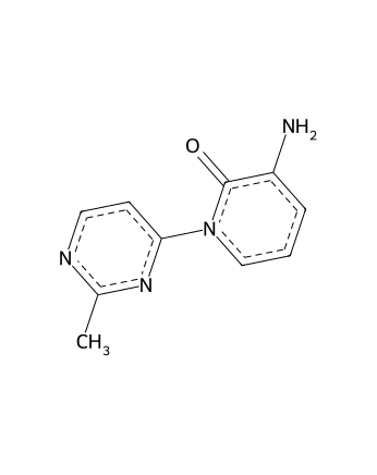 Cc1nccc(-n2cccc(N)c2=O)n1